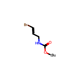 CC(C)(C)OC(=O)NCC=CBr